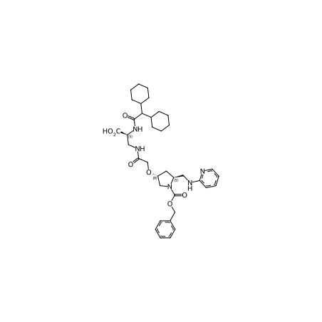 O=C(CO[C@@H]1C[C@@H](CNc2ccccn2)N(C(=O)OCc2ccccc2)C1)NC[C@H](NC(=O)C(C1CCCCC1)C1CCCCC1)C(=O)O